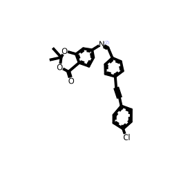 CC1(C)OC(=O)c2ccc(/N=C\c3ccc(C#Cc4ccc(Cl)cc4)cc3)cc2O1